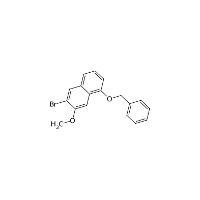 COc1cc2c(OCc3ccccc3)cccc2cc1Br